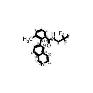 Cc1cccc(C(=O)NCC(F)(F)F)c1-c1ccc2cnccc2c1